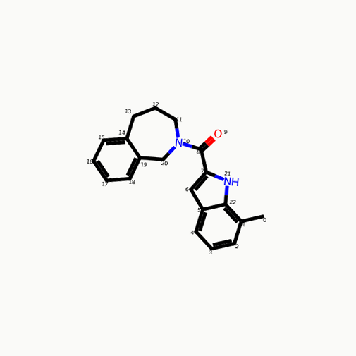 Cc1cccc2cc(C(=O)N3CCCc4ccccc4C3)[nH]c12